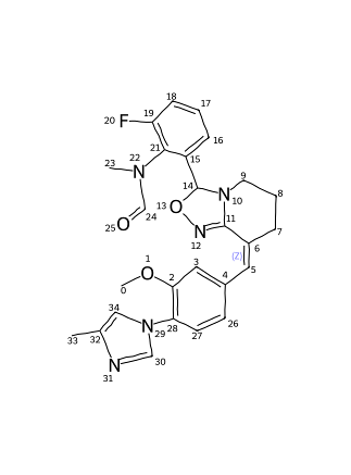 COc1cc(/C=C2/CCCN3C2=NOC3c2cccc(F)c2N(C)C=O)ccc1-n1cnc(C)c1